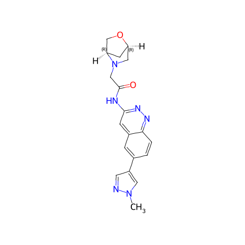 Cn1cc(-c2ccc3nnc(NC(=O)CN4C[C@H]5C[C@@H]4CO5)cc3c2)cn1